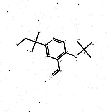 CCC(C)(C)c1ccc(OC(C)(C)C)c(C=O)c1